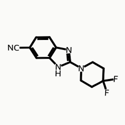 N#Cc1ccc2nc(N3CCC(F)(F)CC3)[nH]c2c1